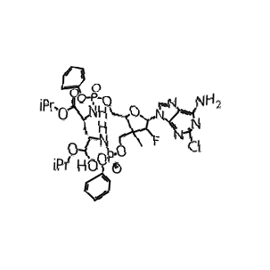 CC(C)OC(=O)[C@H](C)NP(=O)(OC[C@H]1O[C@@H](n2cnc3c(N)nc(Cl)nc32)C(F)C1(C)COP(=O)(N[C@@H](C)C(O)OC(C)C)Oc1ccccc1)Oc1ccccc1